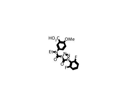 CCN(C(=O)n1nnn(-c2c(F)cccc2F)c1=O)c1ccc(OC)c(C(=O)O)c1